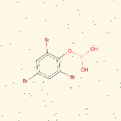 OB(O)Oc1c(Br)cc(Br)cc1Br